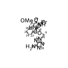 COC[C@H](NP(=O)(CO[C@H](C)Cn1cnc2c(N)ncnc21)Oc1ccccc1)C(=O)NC(C)C